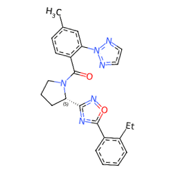 CCc1ccccc1-c1nc([C@@H]2CCCN2C(=O)c2ccc(C)cc2-n2nccn2)no1